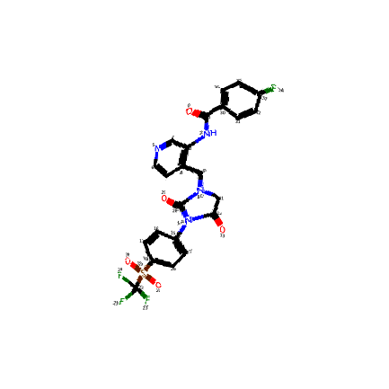 O=C(Nc1cnccc1CN1CC(=O)N(c2ccc(S(=O)(=O)C(F)(F)F)cc2)C1=O)c1ccc(F)cc1